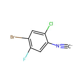 [C-]#[N+]c1cc(F)c(Br)cc1Cl